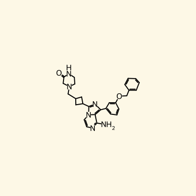 Nc1nccn2c(C3CC(CN4CCNC(=O)C4)C3)nc(-c3cccc(OCc4ccccc4)c3)c12